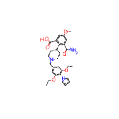 CCOc1cc(CN2CCC(c3c(C(N)=O)cc(OC)cc3C(=O)O)CC2)cc(OCC)c1-n1cccc1